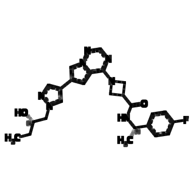 CC[C@H](O)Cn1cc(-c2cc3c(N4CC(C(=O)N[C@@H](C)c5ccc(F)cc5)C4)ncnn3c2)cn1